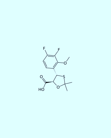 COc1c([C@@H]2SC(C)(C)O[C@H]2C(=O)O)ccc(F)c1F